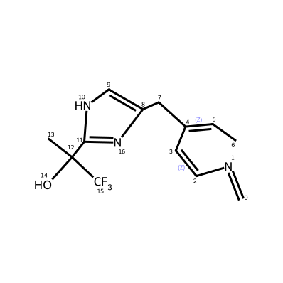 C=N/C=C\C(=C/C)Cc1c[nH]c(C(C)(O)C(F)(F)F)n1